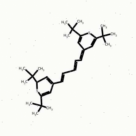 CC(C)(C)C1=CC(=CC=CC=CC2=CC(C(C)(C)C)SC(C(C)(C)C)=C2)C=C(C(C)(C)C)S1